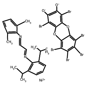 Cc1cccc(C)c1N=CC=Nc1c(C(C)C)cccc1C(C)C.[Ni+2].[O-]c1c([O-])c(Br)c2c(c1Br)Oc1c(Br)c(Br)c(Br)c(Br)c1O2